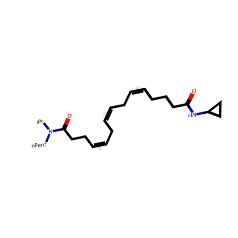 CCCCCN(C(=O)CC/C=C\C/C=C\C/C=C\CCCC(=O)NC1CC1)C(C)C